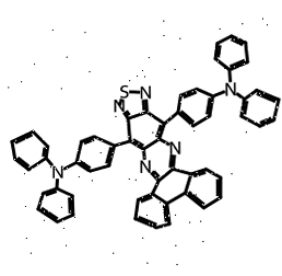 c1ccc(N(c2ccccc2)c2ccc(-c3c4nsnc4c(-c4ccc(N(c5ccccc5)c5ccccc5)cc4)c4nc5c6ccccc6c6ccccc6c5nc34)cc2)cc1